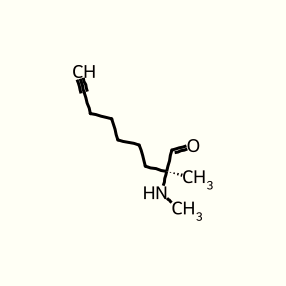 C#CCCCCC[C@@](C)(C=O)NC